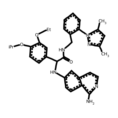 CCOc1cc(C(Nc2ccc3c(N)nccc3c2)C(=O)NCc2ccccc2-n2nc(C)cc2C)ccc1OC(C)C